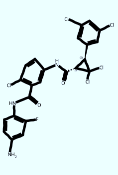 Nc1ccc(NC(=O)c2cc(NC(=O)[C@@H]3[C@@H](c4cc(Cl)cc(Cl)c4)C3(Cl)Cl)ccc2Cl)c(F)c1